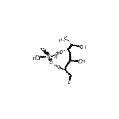 C[C@H](O)[C@@H](O)[C@@H](O)[C@H](O)C=O.O=S(=O)(O)O